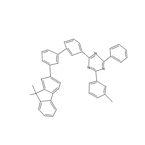 Cc1cccc(-c2nc(-c3ccccc3)nc(-c3cccc(-c4cccc(-c5ccc6c(c5)C(C)(C)c5ccccc5-6)c4)c3)n2)c1